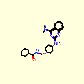 CN(C)c1nc(N[C@H]2CC[C@@H](CNC(=O)C3CCCCC3)CC2)nc2ccccc12